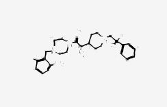 CCOc1cccc(F)c1CN1CCN(C(=O)[C@H](N)C2CCN(CC(F)(F)c3ccccc3)CC2)CC1